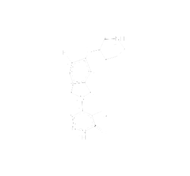 O=c1[nH]ncc(N2Cc3cc(F)c(OC4CCCNC4)cc3C2)c1C(F)(F)F